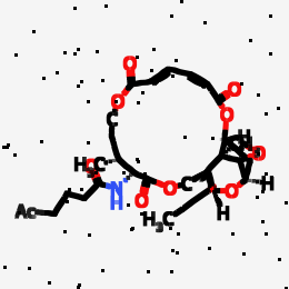 CC(=O)CCCC(=O)N[C@H]1C(=O)OC[C@]23CCC(C)=C[C@H]2O[C@@H]2C[C@@H](OC(=O)/C=C\C=C\C(=O)OCC[C@H]1C)[C@@]3(C)[C@]21CO1